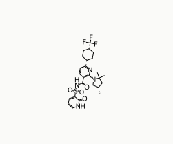 C[C@@H]1CN(c2nc([C@H]3CC[C@@H](C(F)(F)F)CC3)ccc2C(=O)NS(=O)(=O)c2ccc[nH]c2=O)C(C)(C)C1